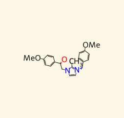 COc1ccc(C[n+]2ccn(CC(=O)c3ccc(OC)cc3)c2C)cc1